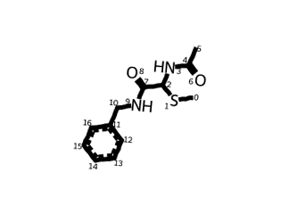 CSC(NC(C)=O)C(=O)NCc1ccccc1